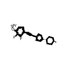 CCCOc1ccc(C#Cc2ccc([C@H]3CC[C@H](C)CC3)cc2)c(F)c1F